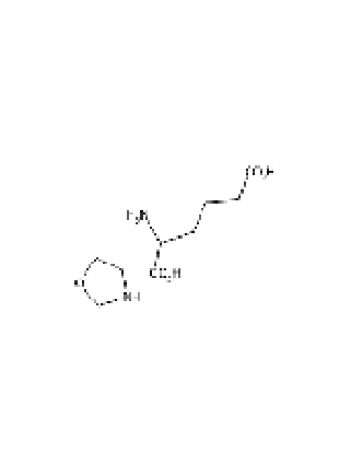 C1COCN1.NC(CCCC(=O)O)C(=O)O